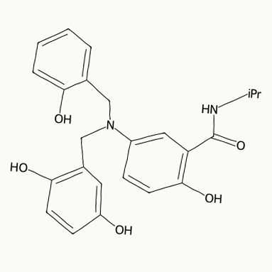 CC(C)NC(=O)c1cc(N(Cc2ccccc2O)Cc2cc(O)ccc2O)ccc1O